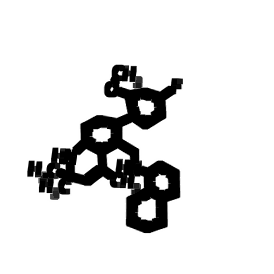 COc1cc(F)ccc1-c1ccc2c(c1CNc1cccc3ccccc13)C(C)=CC(C)(C)N2